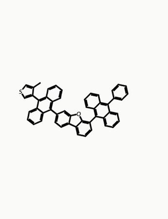 Cc1cscc1-c1c2ccccc2c(-c2ccc3c(c2)oc2c(-c4c5ccccc5c(-c5ccccc5)c5ccccc45)cccc23)c2ccccc12